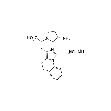 Cl.Cl.Cl.N[C@H]1CCN(C(Cc2ncn3c2CCc2ccccc2-3)C(=O)O)C1